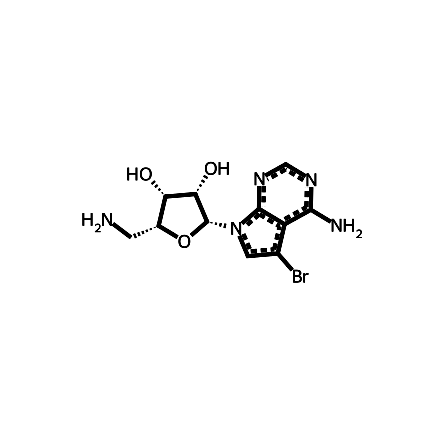 NC[C@H]1O[C@@H](n2cc(Br)c3c(N)ncnc32)[C@@H](O)[C@H]1O